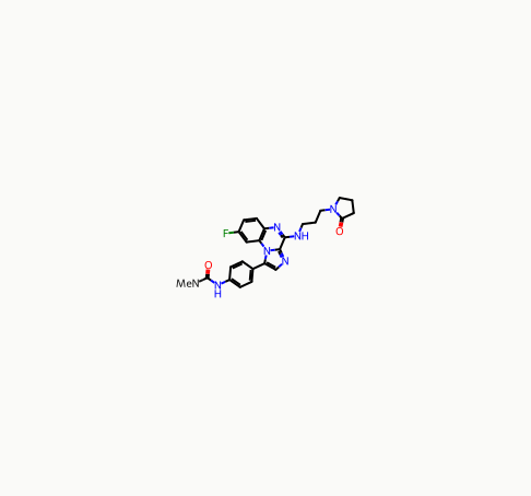 CNC(=O)Nc1ccc(-c2cnc3c(NCCCN4CCCC4=O)nc4ccc(F)cc4n23)cc1